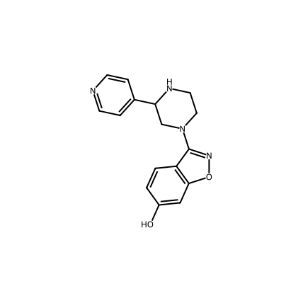 Oc1ccc2c(N3CCNC(c4ccncc4)C3)noc2c1